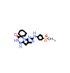 CS(=O)(=O)c1ccc(Nc2ncc3cc4n(c3n2)C2(CCCCC2)C(=O)NN4)cc1